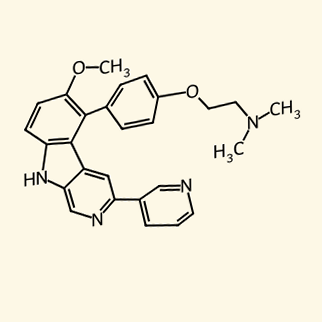 COc1ccc2[nH]c3cnc(-c4cccnc4)cc3c2c1-c1ccc(OCCN(C)C)cc1